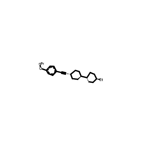 CCCOc1ccc(C#C[C@H]2CC[C@H]([C@H]3CC[C@H](CC)CC3)CC2)cc1